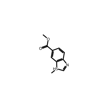 COC(=O)c1ccc2c(c1)[SH](C)C=N2